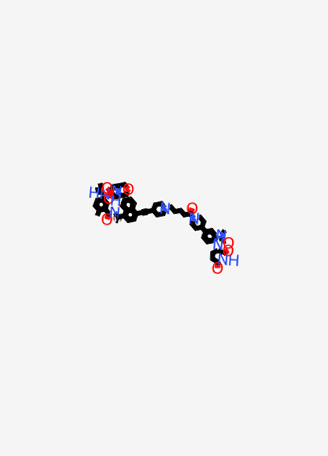 Cc1ccc(NC2CC3COCC(C2)N3C(=O)OC(C)(C)C)cc1C(=O)N[C@H](C)c1ccc(C#CC2CCN(CCCCC(=O)N3CCC(c4ccc5c(c4)n(C)c(=O)n5C4CCC(=O)NC4=O)CC3)CC2)c2ccccc12